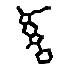 Cn1c(-c2ccccn2)nc2cc3c(cc21)CC(=O)N3CCO